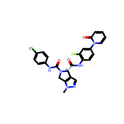 Cn1ncc2c1CN(C(=O)Nc1ccc(Cl)cc1)[C@@H]2C(=O)Nc1ccc(-n2ccccc2=O)cc1F